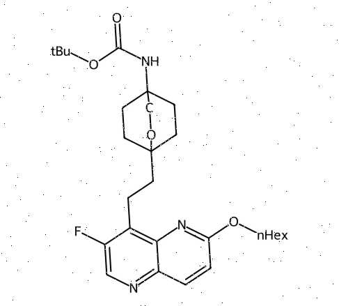 CCCCCCOc1ccc2ncc(F)c(CCC34CCC(NC(=O)OC(C)(C)C)(CC3)CO4)c2n1